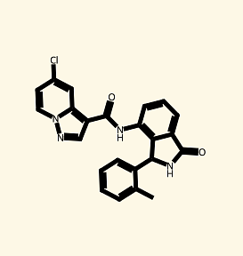 Cc1ccccc1C1NC(=O)c2cccc(NC(=O)c3cnn4ccc(Cl)cc34)c21